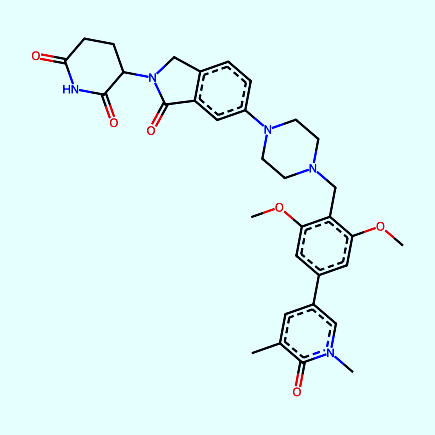 COc1cc(-c2cc(C)c(=O)n(C)c2)cc(OC)c1CN1CCN(c2ccc3c(c2)C(=O)N(C2CCC(=O)NC2=O)C3)CC1